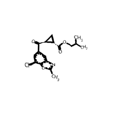 Cc1nc2cc(C(=O)[C@H]3C[C@@H]3C(=O)OCC(C)C)cc(Cl)c2o1